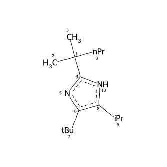 CCCC(C)(C)c1nc(C(C)(C)C)c(C(C)C)[nH]1